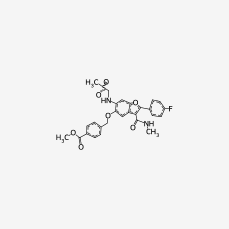 CNC(=O)c1c(-c2ccc(F)cc2)oc2cc(NCS(C)(=O)=O)c(OCc3ccc(C(=O)OC)cc3)cc12